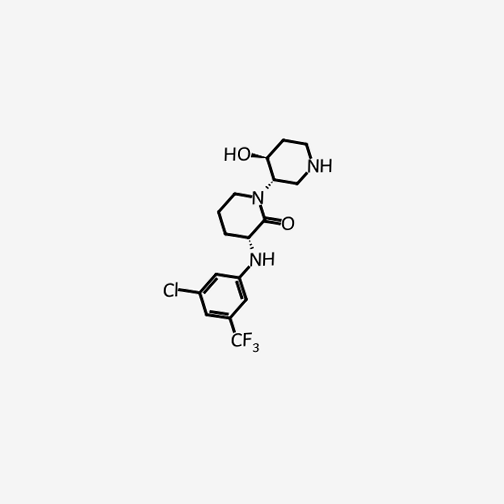 O=C1[C@H](Nc2cc(Cl)cc(C(F)(F)F)c2)CCCN1[C@H]1CNCC[C@@H]1O